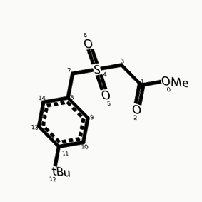 COC(=O)CS(=O)(=O)Cc1ccc(C(C)(C)C)cc1